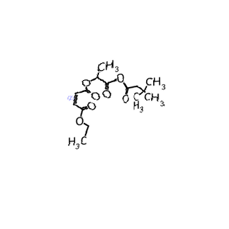 CCOC(=O)/C=C\C(=O)OC(C)C(=O)OC(=O)CC(C)(C)C